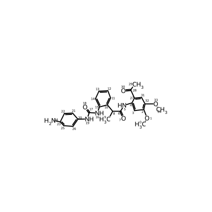 COc1cc(NC(=O)C(C)c2ccccc2NC(=O)Nc2ccc(N)cc2)c(C(C)=O)cc1OC